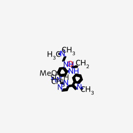 C=CC(=O)Nc1cc(Nc2nccc(-c3cn(C)c4ccccc34)n2)c(OC)cc1NCCN(C)C.CS(=O)(=O)O